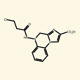 CCOC(=O)c1cn2c(n1)CN(NC(=O)CCCl)c1ccccc1-2